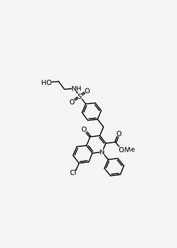 COC(=O)c1c(Cc2ccc(S(=O)(=O)NCCO)cc2)c(=O)c2ccc(Cl)cc2n1-c1ccccc1